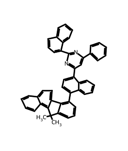 CC1(C)c2cccc(-c3ccc(-c4cc(-c5ccccc5)nc(-c5cccc6ccccc56)n4)c4ccccc34)c2-c2ccc3ccccc3c21